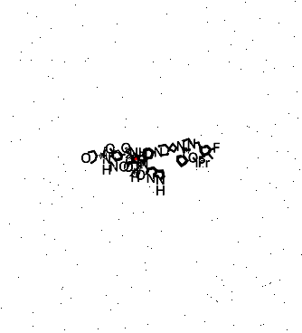 Cc1c(F)cc(CN2CCN(C3CC4(CCN(c5ccc(C(=O)NS(=O)(=O)c6cc7c(c([N+](=O)[O-])c6)N[C@H](C6CCOCC6)CO7)c(N6c7cc8cc[nH]c8nc7O[C@H]7COCC[C@@H]76)c5)CC4)C3)[C@H](c3ccccc3OC(C)C)C2)cc1F